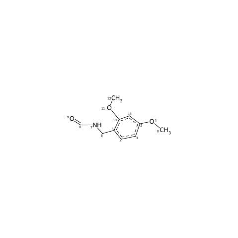 COc1ccc(CN[C]=O)c(OC)c1